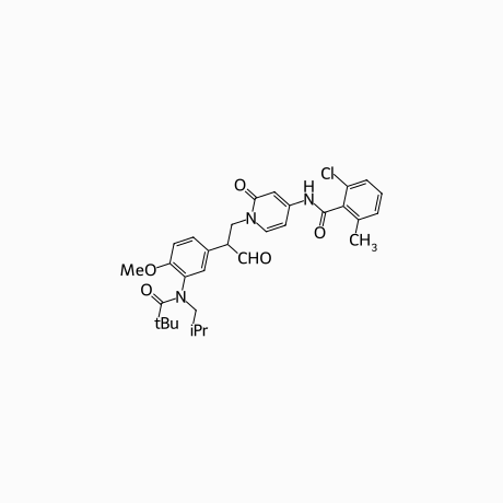 COc1ccc(C(C=O)Cn2ccc(NC(=O)c3c(C)cccc3Cl)cc2=O)cc1N(CC(C)C)C(=O)C(C)(C)C